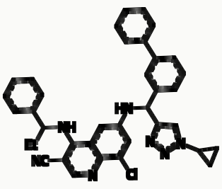 CCC(Nc1c(C#N)cnc2c(Cl)cc(NC(c3cccc(-c4ccccc4)c3)c3cn(C4CC4)nn3)cc12)c1ccccc1